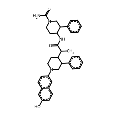 CC(C(=O)NC1CCN(C(N)=O)CC1c1ccccc1)C1CCN(c2ccc3cc(O)ccc3c2)CC1c1ccccc1